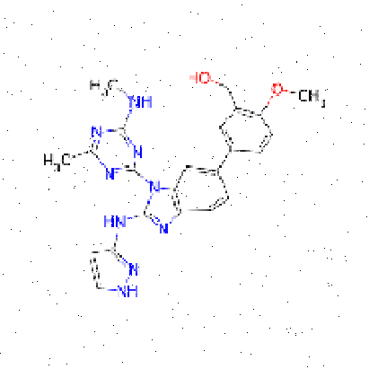 CNc1nc(C)nc(-n2c(Nc3cc[nH]n3)nc3ccc(-c4ccc(OC)c(CO)c4)cc32)n1